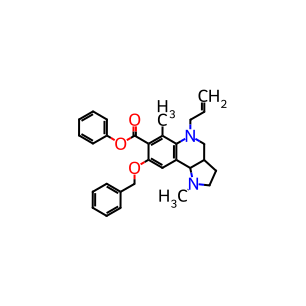 C=CCN1CC2CCN(C)C2c2cc(OCc3ccccc3)c(C(=O)Oc3ccccc3)c(C)c21